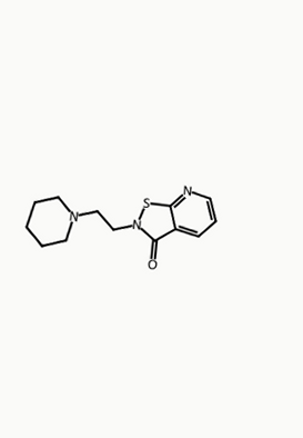 O=c1c2cccnc2sn1CCN1CCCCC1